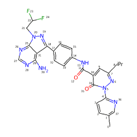 Cc1ccc(-n2nc(C(C)C)cc(C(=O)Nc3ccc(-c4nn(CC(F)F)c5ncnc(N)c45)cc3)c2=O)nc1